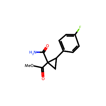 COC(=O)C1(C(N)=O)CC1c1ccc(F)cc1